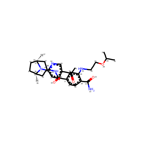 CC(=O)c1ccc(N2[C@@H]3CC[C@H]2C[C@@H](NC(=O)c2ccc(C(N)=O)c(NCCOC(C)C)c2)C3)nc1